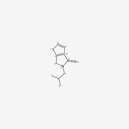 CC(C)CN1Cc2sccc2C1=O